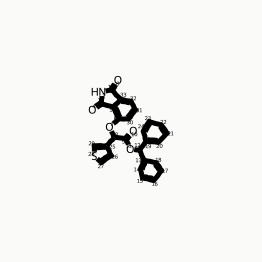 O=C1NC(=O)c2c(OC(C(=O)OC(c3ccccc3)c3ccccc3)c3ccsc3)cccc21